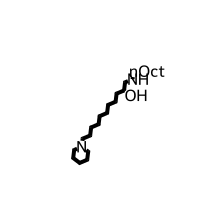 CCCCCCCCNCC(O)CCCCCCCCCN1CCCCC1